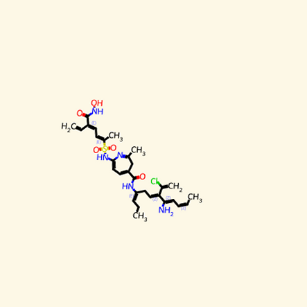 C=C/C(=C\C=C(/C)S(=O)(=O)NC1=CC=C(C(=O)N/C(=C/CC)C/C=C(C(=C)Cl)/C(N)=C/C=C\C)CC(C)=N1)C(=O)NO